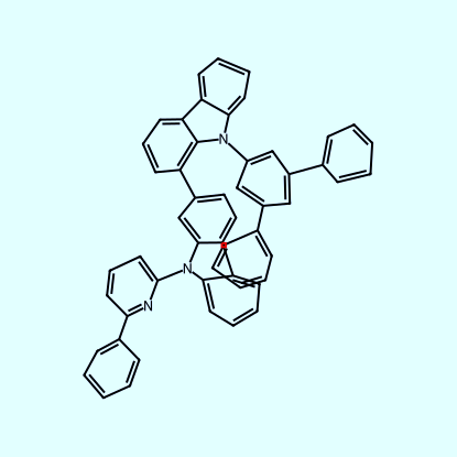 c1ccc(-c2cc(-c3ccccc3)cc(-n3c4ccccc4c4cccc(-c5ccc6c7ccccc7n(-c7cccc(-c8ccccc8)n7)c6c5)c43)c2)cc1